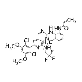 C=CC(=O)Nc1cccc(C)c1Nc1ncc2cc(-c3c(Cl)c(OC)cc(OC)c3Cl)nc(NCC(F)(F)F)c2n1